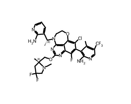 Cc1c(C(F)(F)F)cnc(N)c1-c1c(Cl)c2c3c(nc(OC[C@@]4(C)CC(F)(F)CN4C)nc3c1F)N([C@H](C)c1cccnc1N)CCO2